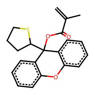 C=C(C)C(=O)OC1(C2CCCS2)c2ccccc2Oc2ccccc21